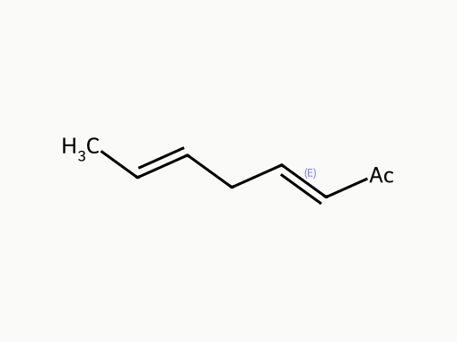 CC=CC/C=C/C(C)=O